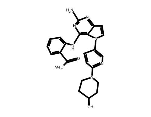 COC(=O)c1ccccc1Nc1nc(N)nc2ccn(-c3ccc(N4CCC(O)CC4)nc3)c12